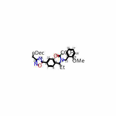 CCCCCCCCCCCc1noc(-c2ccc(C(CC)N(Cc3ccccc3OC)C(=O)C(=O)O)cc2)n1